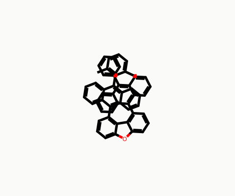 Cc1cccc(C)c1-c1c2ccccc2c(-c2cccc3oc4cccc(-c5c6ccccc6c(-c6ccccc6)c6ccccc56)c4c23)c2ccccc12